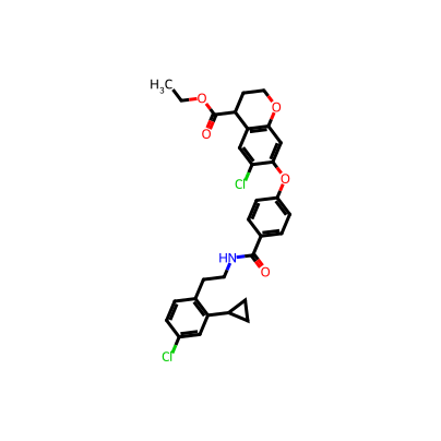 CCOC(=O)C1CCOc2cc(Oc3ccc(C(=O)NCCc4ccc(Cl)cc4C4CC4)cc3)c(Cl)cc21